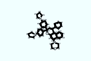 C1=C(c2ccccc2)c2c(cc(N3CCOCC3)c3ccccc23)OC1(c1ccc(N2CCCC2)cc1)c1ccc(N2CCCC2)cc1